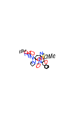 COC(=O)C(=O)C(Cc1ccccc1)NC(=O)[C@@H]1CCCN1C(=O)[C@H](Cc1cscn1)NC(=O)OC(C)(C)C